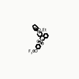 CCOC(=O)N1C2CCC1CC(N1CCC3(CC1)CN(S(=O)(=O)c1ccc(OC(F)(F)F)cc1)Cc1ccccc13)C2